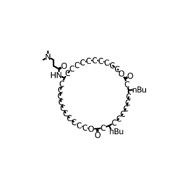 CCCCC1CCCCCCC(CCCC)CC(=O)OCCCCCCCCCCC(NC(=O)CCN(C)C)CCCCCCCCCCOC(=O)C1